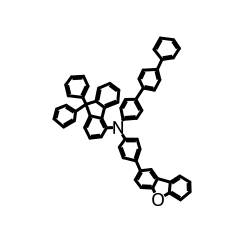 c1ccc(-c2ccc(-c3ccc(N(c4ccc(-c5ccc6oc7ccccc7c6c5)cc4)c4cccc5c4-c4ccccc4C5(c4ccccc4)c4ccccc4)cc3)cc2)cc1